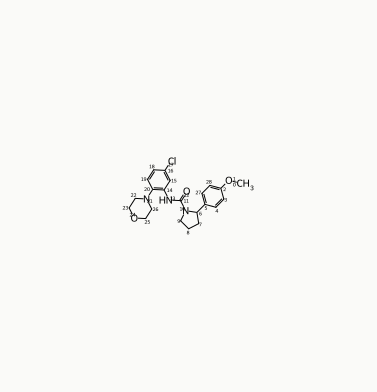 COc1ccc(C2CCCN2C(=O)Nc2cc(Cl)ccc2N2CCOCC2)cc1